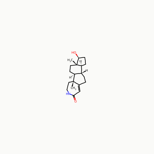 C[C@]12CC[C@H]3[C@@H](CCC4=CC(=O)NCC[C@@]43C)[C@@H]1CC[C@@H]2O